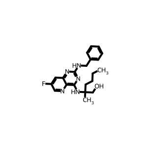 CCCCC(C)(CO)Nc1nc(NCc2ccccc2)nc2cc(F)cnc12